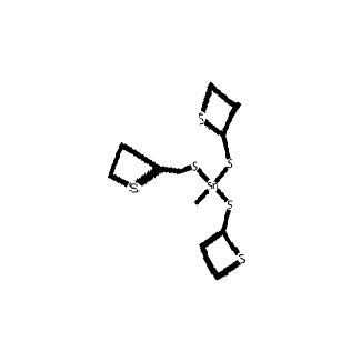 [CH3][Sn]([S]C1CCS1)([S]C1CCS1)[S]C1CCS1